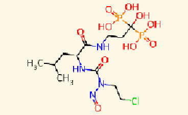 CC(C)C[C@H](NC(=O)N(CCCl)N=O)C(=O)NCCC(O)(P(=O)(O)O)P(=O)(O)O